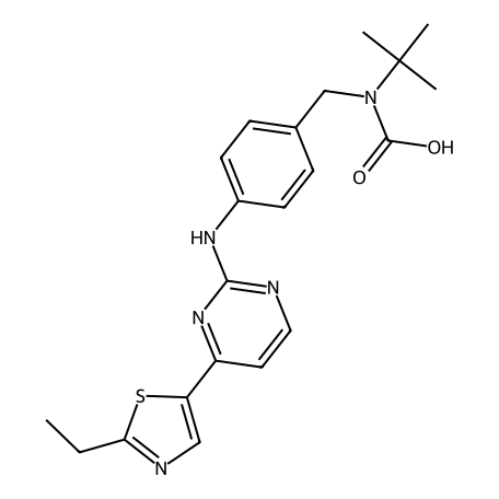 CCc1ncc(-c2ccnc(Nc3ccc(CN(C(=O)O)C(C)(C)C)cc3)n2)s1